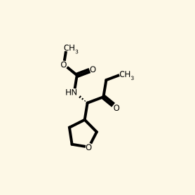 CCC(=O)[C@@H](NC(=O)OC)C1CCOC1